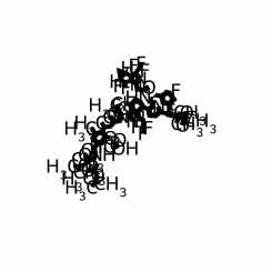 Cc1cc(C(=O)N[C@@H](CC(=O)OC(C)(C)C)C(=O)OC(C)(C)C)cc(OP(=O)(O)O)c1C(C)CC(=O)CN(c1nn(CC(F)(F)F)c2c(-c3ccc(C#CC(C)(C)S(C)(=O)=O)nc3[C@H](Cc3cc(F)cc(F)c3)NC(=O)Cn3nc(C(F)(F)F)c4c3C(F)(F)[C@@H]3C[C@H]43)ccc(Cl)c12)S(C)(=O)=O